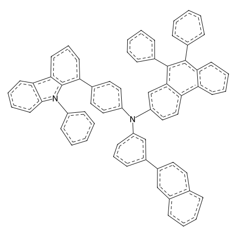 c1ccc(-c2c(-c3ccccc3)c3cc(N(c4ccc(-c5cccc6c7ccccc7n(-c7ccccc7)c56)cc4)c4cccc(-c5ccc6ccccc6c5)c4)ccc3c3ccccc23)cc1